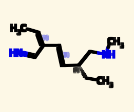 C/C=C(C=N)/C=C/[C@@H](CC)CNC